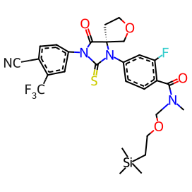 CN(COCC[Si](C)(C)C)C(=O)c1ccc(N2C(=S)N(c3ccc(C#N)c(C(F)(F)F)c3)C(=O)[C@]23CCOC3)cc1F